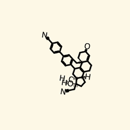 C[C@]12CC3C4=C(CCC5=CC(=O)CC[C@@]54Cc4cc(-c5ccc(C#N)cc5)ccc43)[C@@H]1CC[C@@]2(O)CC#N